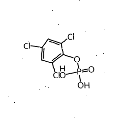 O=P(O)(O)Oc1c(Cl)cc(Cl)cc1Cl